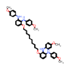 COc1ccc(Nc2cccc(OCCCCCCCCCCOc3cccc(Nc4ccc(OC)cc4)c3Nc3ccc(OC)cc3)c2Nc2ccc(OC)cc2)cc1